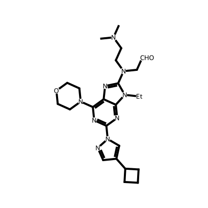 CCn1c(N(CC=O)CCN(C)C)nc2c(N3CCOCC3)nc(-n3cc(C4CCC4)cn3)nc21